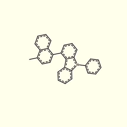 Cc1ccc(-c2cccc3c2c2ccccc2n3-c2ccccc2)c2ccccc12